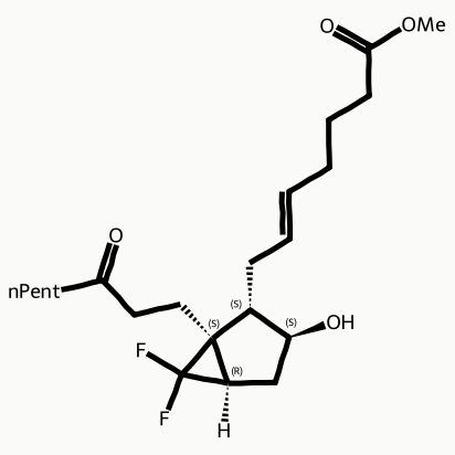 CCCCCC(=O)CC[C@]12[C@H](CC=CCCCC(=O)OC)[C@@H](O)C[C@H]1C2(F)F